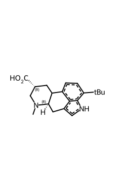 CN1C[C@H](C(=O)O)CC2c3ccc(C(C)(C)C)c4[nH]cc(c34)C[C@H]21